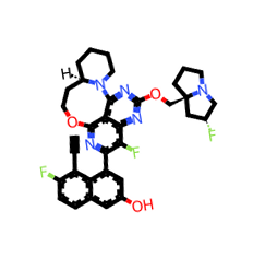 C#Cc1c(F)ccc2cc(O)cc(-c3nc4c5c(nc(OC[C@@]67CCCN6C[C@H](F)C7)nc5c3F)N3CCCC[C@@H]3CCO4)c12